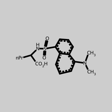 CCCC(NS(=O)(=O)c1cccc2c(N(C)C)cccc12)C(=O)O